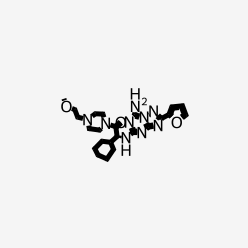 COCCN1CCN(C(=O)[C@@H](Nc2nc(N)n3nc(-c4ccco4)nc3n2)C2CCCCC2)CC1